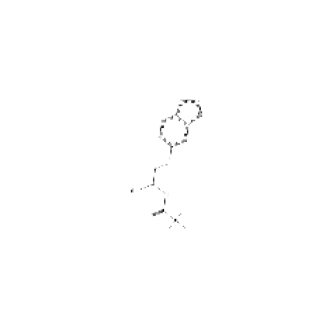 CC(C)C(COc1ccc2[nH]ncc2c1)NC(=O)C(C)(F)F